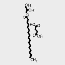 CCCCCCCCCCCCCCCCCC(=O)OCC(O)CO.O=C(O)CCC(=O)O